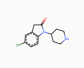 O=C1Cc2cc(Cl)ccc2N1C1CCNCC1